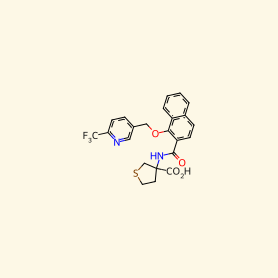 O=C(NC1(C(=O)O)CCSC1)c1ccc2ccccc2c1OCc1ccc(C(F)(F)F)nc1